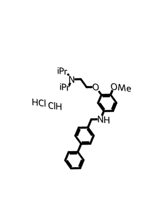 COc1ccc(NCc2ccc(-c3ccccc3)cc2)cc1OCCN(C(C)C)C(C)C.Cl.Cl